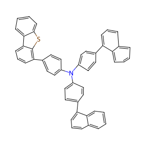 c1ccc2c(-c3ccc(N(c4ccc(-c5cccc6ccccc56)cc4)c4ccc(-c5cccc6c5sc5ccccc56)cc4)cc3)cccc2c1